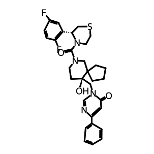 O=C(N1CC[C@@](O)(Cn2cnc(-c3ccccc3)cc2=O)C2(CCCC2)C1)N1CCSC[C@H]1c1cc(F)ccc1F